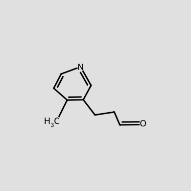 Cc1ccncc1CCC=O